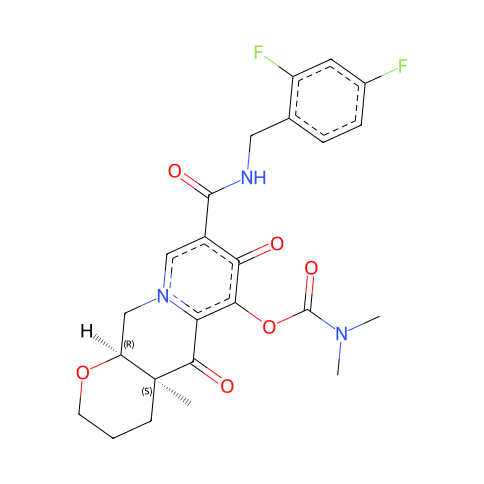 CN(C)C(=O)Oc1c2n(cc(C(=O)NCc3ccc(F)cc3F)c1=O)C[C@@H]1OCCC[C@]1(C)C2=O